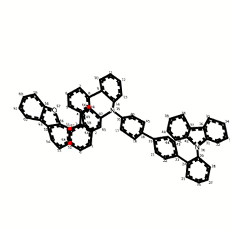 c1ccc(-c2cccc(-c3ccccc3N(c3ccc(-c4ccc(-c5ccccc5-n5c6ccccc6c6ccccc65)cc4)cc3)c3ccc(-c4cccc5c4oc4ccccc45)cc3)c2)cc1